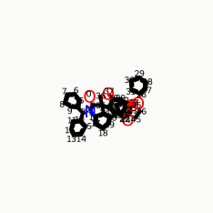 O=C1N(C(c2ccccc2)c2ccccc2)c2cccc(-c3ccc(Oc4ccccc4)cc3)c2C12COc1cc3c(cc12)OCCO3